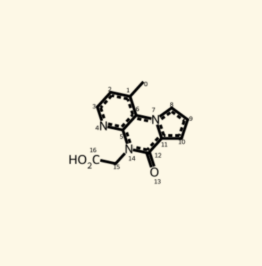 Cc1ccnc2c1n1cccc1c(=O)n2CC(=O)O